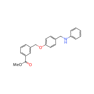 COC(=O)c1cccc(COc2ccc(CNc3ccccc3)cc2)c1